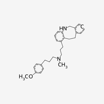 COc1ccc(CCCN(C)CCCc2cccc3c2CCc2ccccc2CN3)cc1